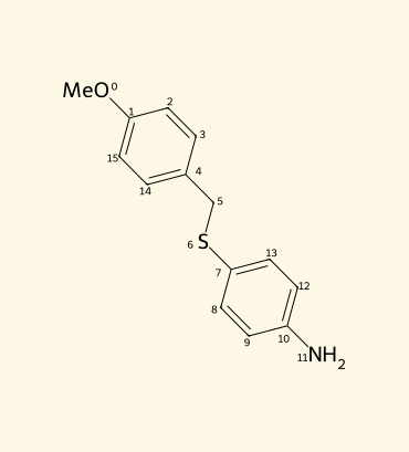 COc1ccc(CSc2ccc(N)cc2)cc1